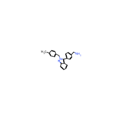 Cc1ccc(Cn2nc3ccccc3c2-c2ccc(CN)cc2)cc1